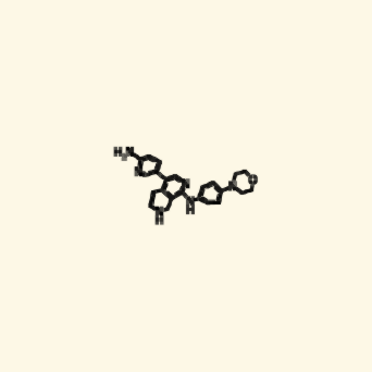 Nc1ccc(-c2cnc(Nc3ccc(N4CCOCC4)cc3)c3c2C=CNC3)cn1